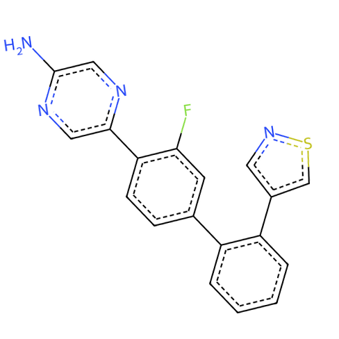 Nc1cnc(-c2ccc(-c3ccccc3-c3cnsc3)cc2F)cn1